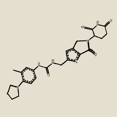 Cc1cc(NC(=O)NCc2cc3c(s2)C(=O)N(C2CCC(=O)NC2=O)C3)ccc1N1CCCC1